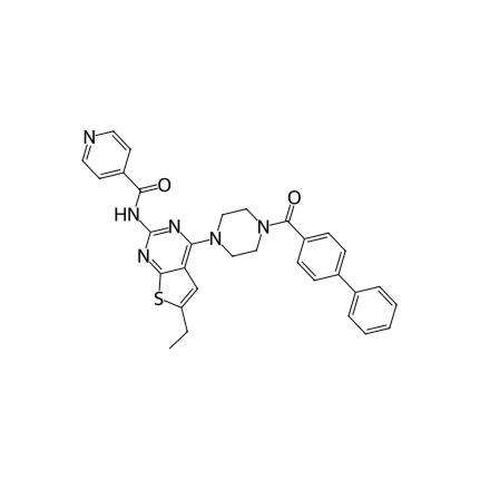 CCc1cc2c(N3CCN(C(=O)c4ccc(-c5ccccc5)cc4)CC3)nc(NC(=O)c3ccncc3)nc2s1